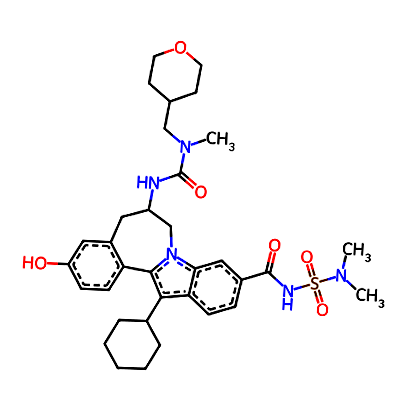 CN(CC1CCOCC1)C(=O)NC1Cc2cc(O)ccc2-c2c(C3CCCCC3)c3ccc(C(=O)NS(=O)(=O)N(C)C)cc3n2C1